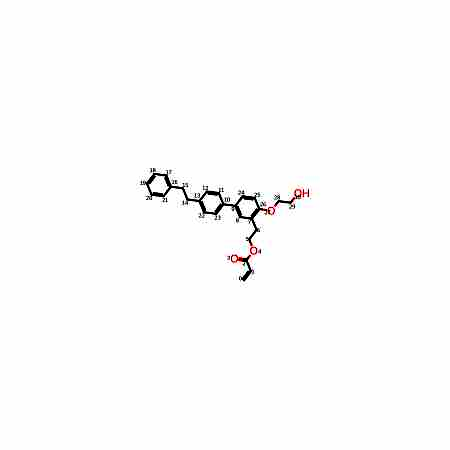 C=CC(=O)OCCc1cc(-c2ccc(CCc3ccccc3)cc2)ccc1OCCO